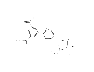 COC(=O)c1cc(C(N)=O)cc(-c2ccc(O[C@H]3O[C@H](CF)[C@@H](O)[C@H](O)[C@@H]3O)cc2)c1